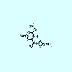 COC[C@@H](NC(=O)OC(C)(C)C)C(=O)N1CC(N)C1